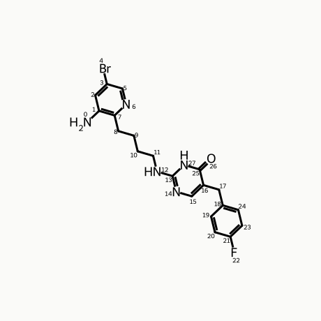 Nc1cc(Br)cnc1CCCCNc1ncc(Cc2ccc(F)cc2)c(=O)[nH]1